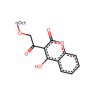 CCCCCCCCOCC(=O)c1c(O)c2ccccc2oc1=O